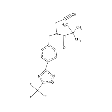 C#CCN(Cc1ccc(-c2noc(C(F)(F)F)n2)cc1)C(=O)C(C)(C)C